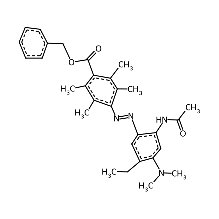 CCc1cc(/N=N/c2c(C)c(C)c(C(=O)OCc3ccccc3)c(C)c2C)c(NC(C)=O)cc1N(C)C